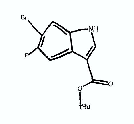 CC(C)(C)OC(=O)c1c[nH]c2cc(Br)c(F)cc12